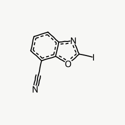 N#Cc1cccc2nc(I)oc12